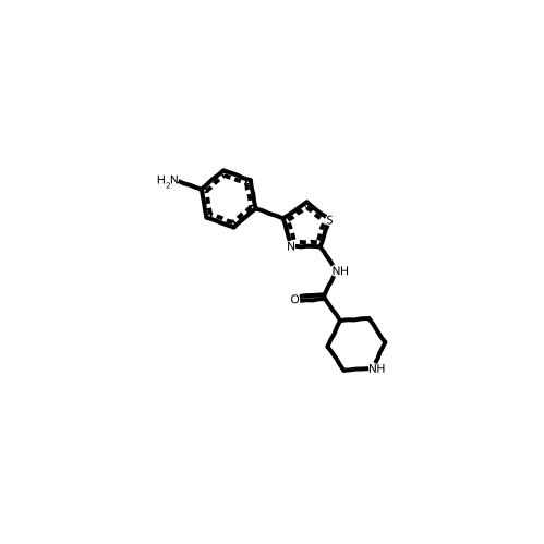 Nc1ccc(-c2csc(NC(=O)C3CCNCC3)n2)cc1